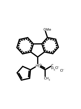 COc1cccc2c1-c1ccccc1[CH]2[Hf+2]([C]1=CC=CC1)=[C](C)C.[Cl-].[Cl-]